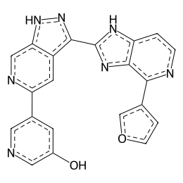 Oc1cncc(-c2cc3c(-c4nc5c(-c6ccoc6)nccc5[nH]4)n[nH]c3cn2)c1